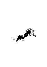 CCCc1c(C)nn(-c2ccc(CNC(=O)c3cccc(N)c3)cc2)c1C